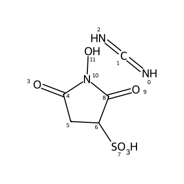 N=C=N.O=C1CC(S(=O)(=O)O)C(=O)N1O